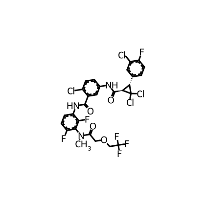 CN(C(=O)COCC(F)(F)F)c1c(F)ccc(NC(=O)c2cc(NC(=O)[C@H]3[C@H](c4ccc(F)c(Cl)c4)C3(Cl)Cl)ccc2Cl)c1F